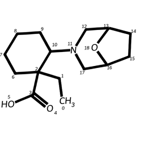 CCC1(C(=O)O)CCCCC1N1CC2CCC(C1)O2